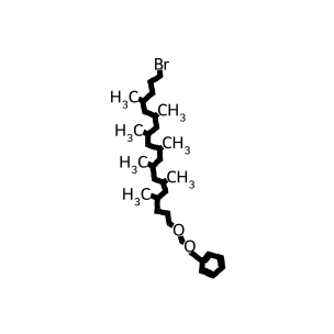 CC(CCCBr)CC(C)CC(C)CC(C)CC(C)CC(C)CC(C)CCCOCOCc1ccccc1